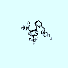 COCC1CCCN1c1sc(C(F)(F)F)nc1C(=O)O